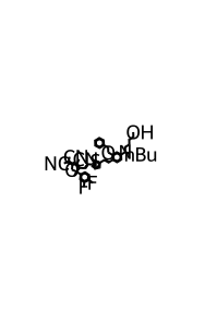 CCCCN(CCCCO)c1ccc(/C=C/c2ccc(/C=C/C3=C(C#N)C(=C(C#N)C#N)OC3(C)c3ccc(F)c(F)c3)s2)c(OCc2ccccc2)c1